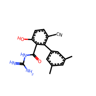 Cc1cc(C)cc(-c2c(C#N)ccc(O)c2C(=O)NC(=N)N)c1